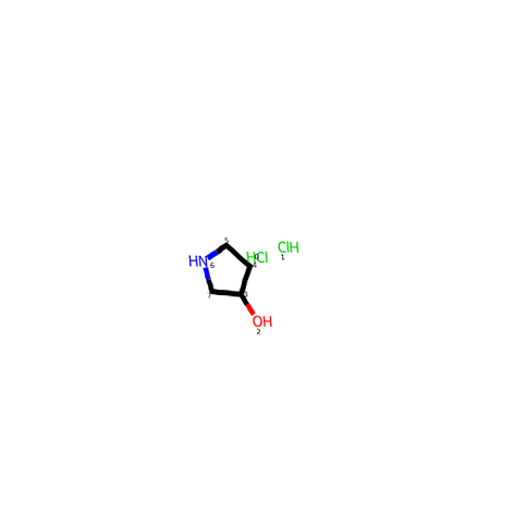 Cl.Cl.OC1CCNC1